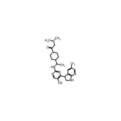 CC(Nc1ncc(C#N)c(C2CNc3ncc(C(F)(F)F)cc32)n1)C1CCN(C(=O)CN(C)C)CC1